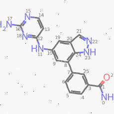 NC(=O)c1cccc(-c2cc(Nc3ccnc(N)n3)cc3cn[nH]c23)c1